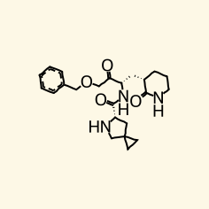 O=C1NCCC[C@H]1C[C@H](NC(=O)[C@@H]1CC2(CC2)CN1)C(=O)COCc1ccccc1